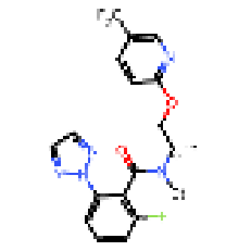 CCN(C(=O)c1c(F)cccc1-n1nccn1)[C@@H](C)COc1ccc(C(F)(F)F)cn1